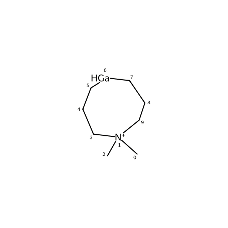 C[N+]1(C)CC[CH2][GaH][CH2]CC1